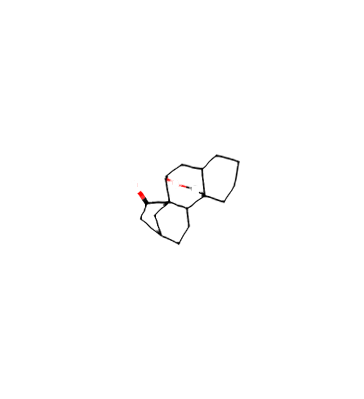 O=C1CC2CCC3C45CCCCC4CC(OC5)C13C2